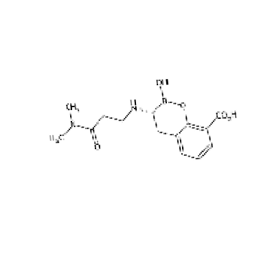 CN(C)C(=O)CCN[C@H]1Cc2cccc(C(=O)O)c2OB1O